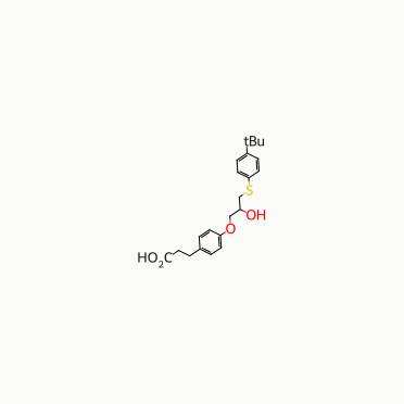 CC(C)(C)c1ccc(SCC(O)COc2ccc(CCC(=O)O)cc2)cc1